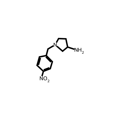 NC1CCN(Cc2ccc([N+](=O)[O-])cc2)C1